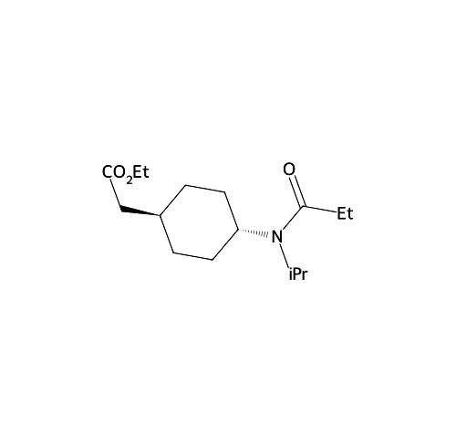 CCOC(=O)C[C@H]1CC[C@H](N(C(=O)CC)C(C)C)CC1